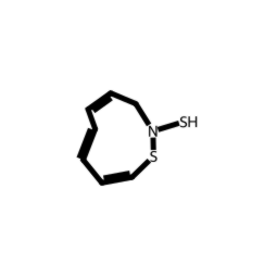 SN1C\C=C/C=C/C=C\S1